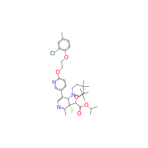 CC1=NC=C(c2ccc(OCCOc3ccc(C)cc3Cl)nc2)C(N2CCC(C)(C)CC2)C1(F)C(OC(C)(C)C)C(=O)OC(C)C